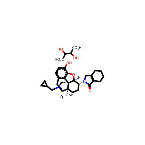 CC(=O)O[C@@]12CC[C@@H](N3CC4=C(CCCC4)C3=O)[C@@H]3Oc4c(O)ccc5c4[C@@]31CCN(CC1CC1)[C@@H]2C5.O=C(O)C(O)C(O)C(=O)O